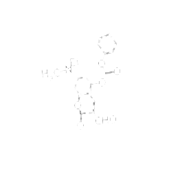 CCN(C)c1cc(OC(=O)Oc2ccccc2)c2cc(C=O)c(=O)oc2c1